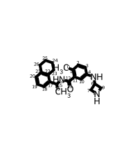 Cc1ccc(NC2CNC2)cc1C(=O)NC(C)c1cccc2c1CCCC2